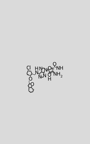 CNC(=O)[C@H]1O[C@@H](n2cnc3c(NCc4cc(Cl)ccc4OCc4cc5ccccc5o4)ncnc32)[C@H](O)[C@@H]1N